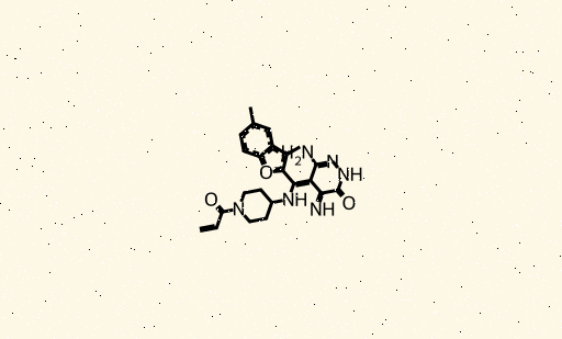 C=CC(=O)N1CCC(N/C(=C2\C(=N)C(=O)NN=C2N)c2oc3ccc(C)cc3c2C)CC1